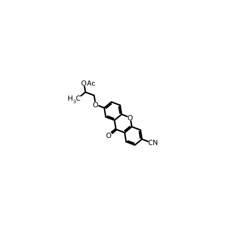 CC(=O)OC(C)COc1ccc2oc3cc(C#N)ccc3c(=O)c2c1